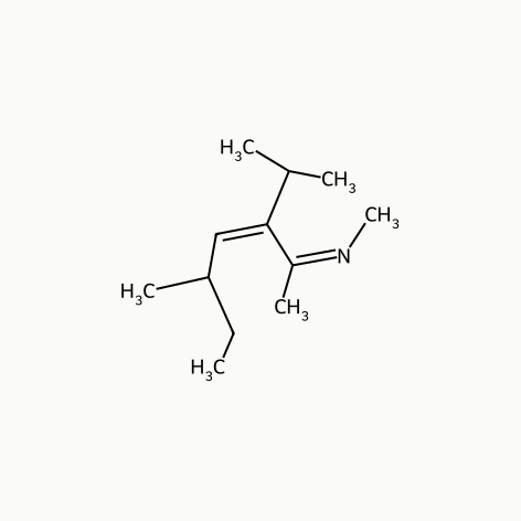 CCC(C)/C=C(\C(C)=N/C)C(C)C